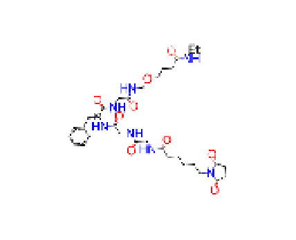 CCNC(=O)CCCOCNC(=O)CNC(=O)[C@H](Cc1ccccc1)NC(=O)CNC(=O)CNC(=O)CCCCCN1C(=O)C=CC1=O